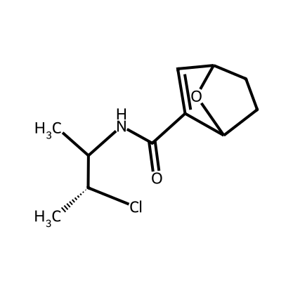 CC(NC(=O)C1=CC2CCC1O2)[C@@H](C)Cl